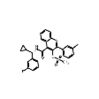 CS(=O)(=O)Oc1c(-c2cccc(F)c2)nc2ccccc2c1C(=O)N[C@H](c1cccc(F)c1)C1CC1